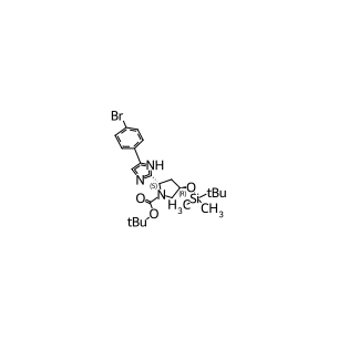 CC(C)(C)OC(=O)N1C[C@H](O[Si](C)(C)C(C)(C)C)C[C@H]1c1ncc(-c2ccc(Br)cc2)[nH]1